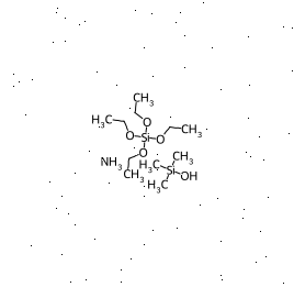 CCO[Si](OCC)(OCC)OCC.C[Si](C)(C)O.N